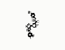 Cc1ccc(-n2cc3c(N4CCN(C)C(C(=O)NCc5ccc(Br)cn5)C4)ncnc3n2)cc1F